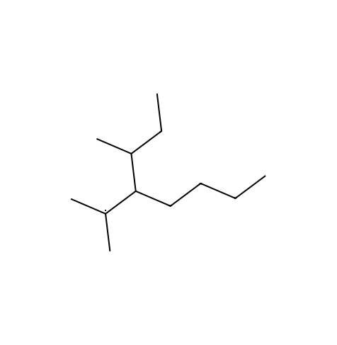 CCCCC([C](C)C)C(C)CC